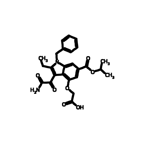 CCc1c(C(=O)C(N)=O)c2c(OCC(=O)O)cc(C(=O)OC(C)C)cc2n1Cc1ccccc1